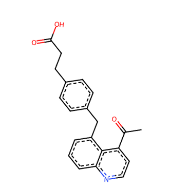 CC(=O)c1ccnc2cccc(Cc3ccc(CCC(=O)O)cc3)c12